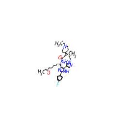 CCCn1cc(-c2[nH]c(-c3ccc(F)cc3)nc2[C@H](CCCCCC(=O)CC)NC(=O)C2CC23CCN(CC)CC3)cn1